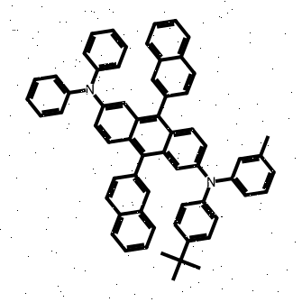 Cc1cccc(N(c2ccc(C(C)(C)C)cc2)c2ccc3c(-c4ccc5ccccc5c4)c4cc(N(c5ccccc5)c5ccccc5)ccc4c(-c4ccc5ccccc5c4)c3c2)c1